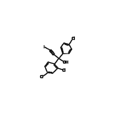 OC(C#CI)(c1ccc(Cl)cc1)c1ccc(Cl)cc1Cl